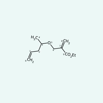 C=CCC(C)OCC(=C)C(=O)OCC